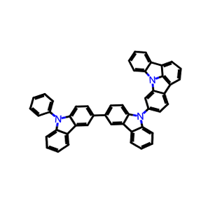 c1ccc(-n2c3ccccc3c3cc(-c4ccc5c(c4)c4ccccc4n5-c4ccc5c6cccc7c8ccccc8n(c5c4)c76)ccc32)cc1